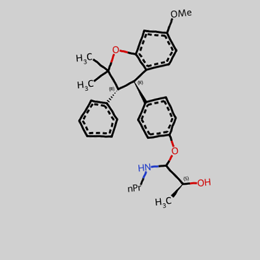 CCCNC(Oc1ccc([C@@H]2c3ccc(OC)cc3OC(C)(C)[C@H]2c2ccccc2)cc1)[C@H](C)O